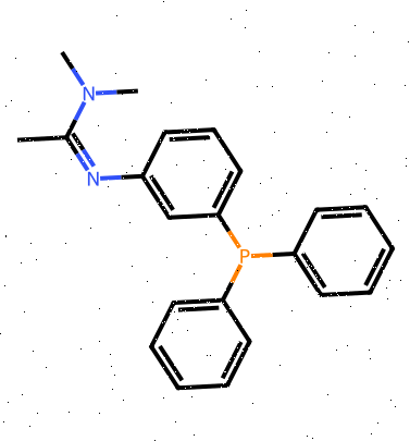 CC(=Nc1cccc(P(c2ccccc2)c2ccccc2)c1)N(C)C